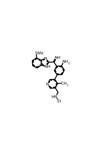 CCNCc1cncc(-c2ccc(N)c(C(=N)c3nc4c(SC)cccc4[nH]3)c2)c1C